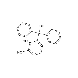 Oc1cccc(C(O)(c2ccccc2)c2ccccc2)c1O